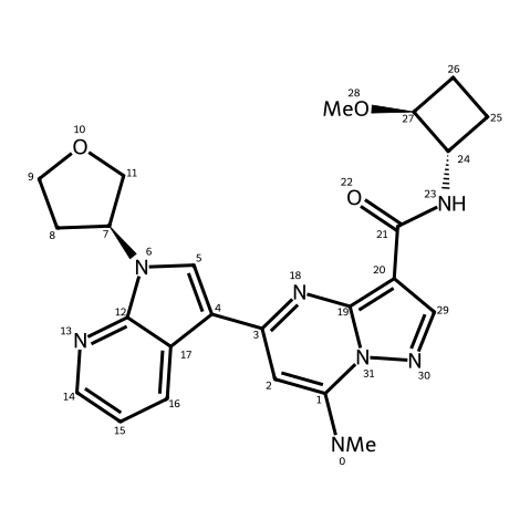 CNc1cc(-c2cn([C@H]3CCOC3)c3ncccc23)nc2c(C(=O)N[C@H]3CC[C@@H]3OC)cnn12